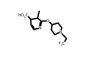 CC1C(OC2CCN(CC(F)(F)F)CC2)=NC=CC1C(=O)O